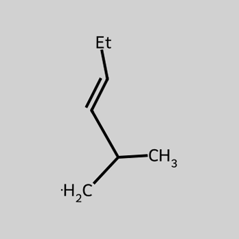 [CH2]CC=CC([CH2])C